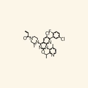 C=CC(=O)N1CCN(c2nc(=O)n(-c3c(C)ccnc3C(C)C)c3nc(-c4cc(Cl)ccc4F)c(Cl)cc23)[C@@H](C)C1